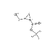 CC(C)(C)OC(=O)N1CC1CCl